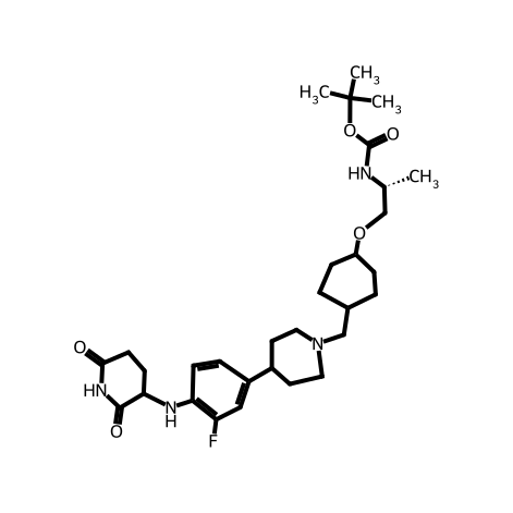 C[C@H](COC1CCC(CN2CCC(c3ccc(NC4CCC(=O)NC4=O)c(F)c3)CC2)CC1)NC(=O)OC(C)(C)C